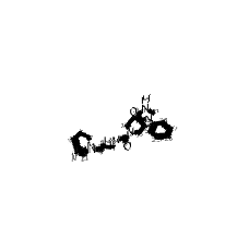 O=C(NCCCN1CCCCC1)N1CCC2(CC1)C(=O)NCN2c1ccccc1